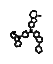 C=C1C=CC=CC2=C1Cc1cc(N(c3ccc(-n4c5ccccc5c5ccccc54)cc3)c3ccc4ccc(-c5ccccc5)cc4c3)ccc12